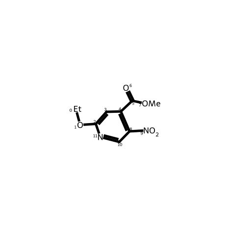 CCOc1cc(C(=O)OC)c([N+](=O)[O-])cn1